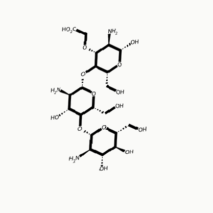 N[C@H]1[C@H](OC2[C@@H](CO)O[C@@H](OC3[C@@H](CO)O[C@@H](O)[C@H](N)[C@H]3OCC(=O)O)[C@H](N)[C@H]2O)O[C@H](CO)[C@@H](O)[C@@H]1O